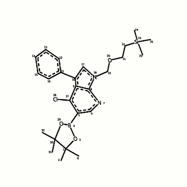 CC1(C)OB(c2cnc3c(c(-c4ccccc4)cn3COCC[Si](C)(C)C)c2Cl)OC1(C)C